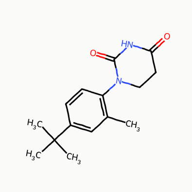 Cc1cc(C(C)(C)C)ccc1N1CCC(=O)NC1=O